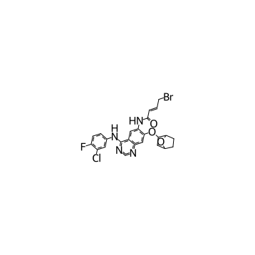 O=C(/C=C/CBr)Nc1cc2c(Nc3ccc(F)c(Cl)c3)ncnc2cc1OC1CC2CCC1O2